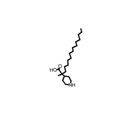 CCCCCCCCCCCCCCC(C)(C(=O)O)C1CCNCC1